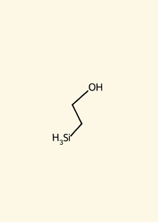 OCC[SiH3]